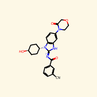 N#Cc1cccc(C(=O)/N=c2\[nH]c3cc(N4CCOCC4=O)ccc3n2[C@H]2CC[C@H](O)CC2)c1